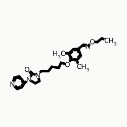 CCCO/N=C/c1cc(C)c(OCCCCCN2CCN(c3ccncc3)C2=O)c(C)c1